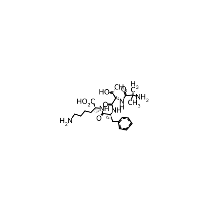 C[C@@H](O)[C@H](NC(=O)C(C)(C)N)C(=O)N[C@@H](Cc1ccccc1)C(=O)N[C@@H](CCCCN)C(=O)O